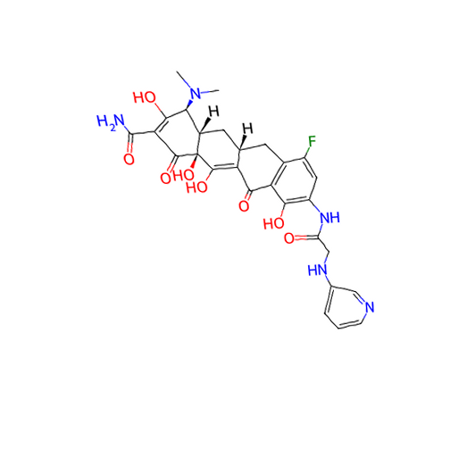 CN(C)[C@@H]1C(O)=C(C(N)=O)C(=O)[C@@]2(O)C(O)=C3C(=O)c4c(O)c(NC(=O)CNc5cccnc5)cc(F)c4C[C@H]3C[C@@H]12